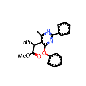 CCCC(C(=O)OC)c1c(C)nc(-c2ccccc2)nc1Oc1ccccc1